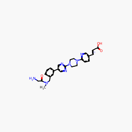 CN(Cc1cccc(-c2cnc(N3CCN(c4ccc(/C=C/C(=O)O)cn4)CC3)nc2)c1)C(=O)CN